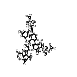 Cn1nc(NS(=O)(=O)CC2CC2)c2c(Cl)ccc(-c3ccc(C#CC(C)(C)S(=O)(=O)C4CC4)nc3[C@H](Cc3cc(F)cc(F)c3)NC(=O)Cn3nc(C(F)F)c4c3C(F)(F)C3C[C@H]43)c21